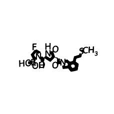 CSCCc1cccc2c1CN(C(=O)C[C@@H]1C[C@@H](C(=O)N3CC(F)C[C@H]3B(O)O)NC1=O)C2